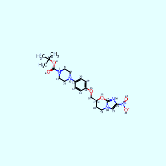 CC(C)(C)OC(=O)N1CCN(c2ccc(OC[C@@H]3CCn4cc([N+](=O)[O-])nc4O3)cc2)CC1